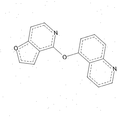 c1cc(Oc2nccc3occc23)c2cccnc2c1